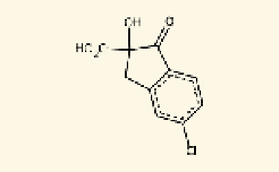 O=C(O)C1(O)Cc2cc(Cl)ccc2C1=O